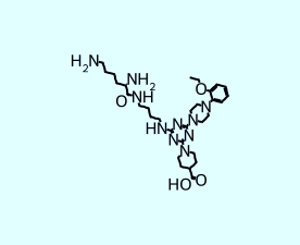 CCOc1ccccc1N1CCN(c2nc(NCCCCNC(=O)[C@@H](N)CCCCN)nc(N3CCC(C(=O)O)CC3)n2)CC1